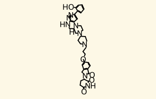 O=C1CCC(N2Cc3cc(OCCCN4CCC(N5CCN6c7cc(-c8ccccc8O)nnc7NC[C@H]6C5)CC4)ccc3C2=O)C(=O)N1